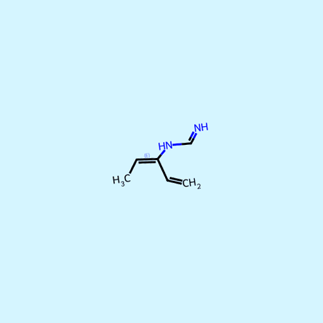 C=C/C(=C\C)NC=N